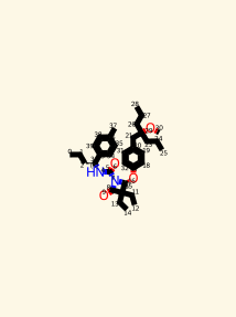 CCC[C@@H](NC(=O)N1C(=O)C(CC)(CC)[C@@H]1Oc1ccc(CC(CCC)(CCC)OC)cc1)c1ccc(C)cc1